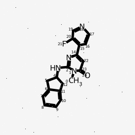 Cn1c(NC2Cc3ccccc3C2)nc(-c2ccncc2F)cc1=O